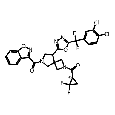 O=C(c1noc2ccccc12)N1CC(c2nnc(C(F)(F)c3ccc(Cl)c(Cl)c3)o2)C2(C1)CN(C(=O)[C@H]1CC1(F)F)C2